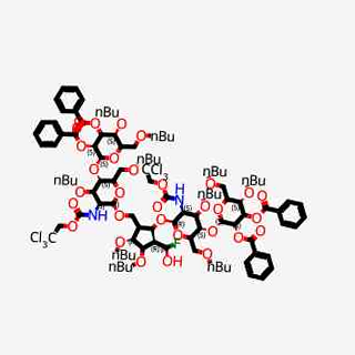 CCCCOCC1O[C@@H](OCC2C(O[C@@H]3OC(COCCCC)[C@@H](O[C@@H]4OC(COCCCC)[C@H](OCCCC)C(OC(=O)c5ccccc5)[C@@H]4OC(=O)c4ccccc4)C(OCCCC)[C@@H]3NC(=O)OCC(Cl)(Cl)Cl)[C@@H]([C@H](O)F)C(OCCCC)[C@@H]2OCCCC)[C@@H](NC(=O)OCC(Cl)(Cl)Cl)C(OCCCC)[C@@H]1O[C@@H]1OC(COCCCC)[C@H](OCCCC)C(OC(=O)c2ccccc2)[C@@H]1OC(=O)c1ccccc1